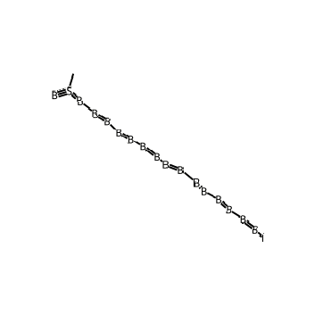 B#S(C)=BB=BB=BB=BB=BB=BB=BB=BI